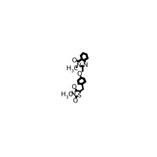 CN1C(=O)SC(Cc2ccc(OCc3nc4ccccc4c(=O)n3C)cc2)C1=O